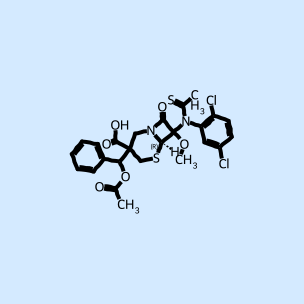 COC1(N(C(C)=S)c2cc(Cl)ccc2Cl)C(=O)N2CC(C(=O)O)(C(OC(C)=O)c3ccccc3)CS[C@@H]21